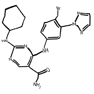 NC(=O)c1cnc(NC2CCCCC2)nc1Nc1ccc(Br)c(-n2nccn2)c1